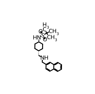 CC(C)(C)S(=O)(=O)N[C@H]1CC[C@H](CNCc2ccc3ccccc3c2)CC1